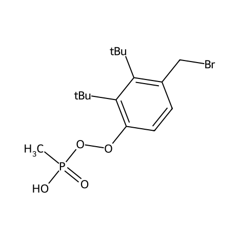 CC(C)(C)c1c(CBr)ccc(OOP(C)(=O)O)c1C(C)(C)C